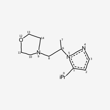 CC(C)c1ccnn1C(C)CN1CCOCC1